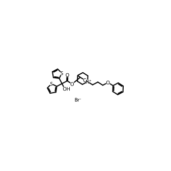 O=C(OC1C[N+]2(CCCOc3ccccc3)CCC1CC2)C(O)(c1cccs1)c1cccs1.[Br-]